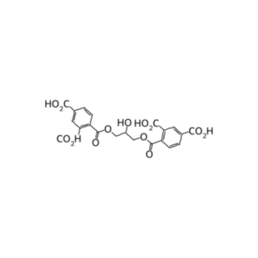 O=C(O)c1ccc(C(=O)OCC(O)COC(=O)c2ccc(C(=O)O)cc2C(=O)O)c(C(=O)O)c1